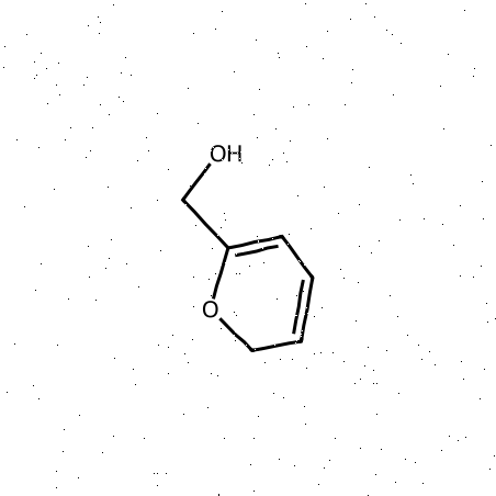 OCC1=CC=CCO1